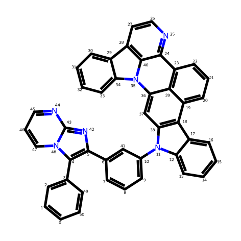 c1ccc(-c2c(-c3cccc(-n4c5ccccc5c5c6cccc7c8nccc9c%10ccccc%10n(c(cc54)c76)c98)c3)nc3ncccn23)cc1